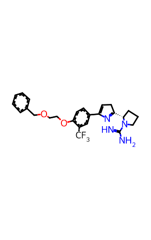 N=C(N)N1CCC[C@H]1C1=NC(c2ccc(OCCOCc3ccccc3)c(C(F)(F)F)c2)=CC1